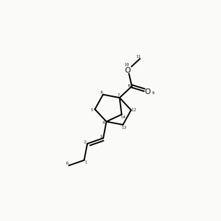 CC/C=C/C12CCC(C(=O)OC)(CC1)C2